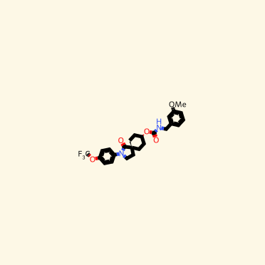 COc1cccc(CNC(=O)O[C@H]2CC[C@@]3(CCN(c4ccc(OC(F)(F)F)cc4)C3=O)CC2)c1